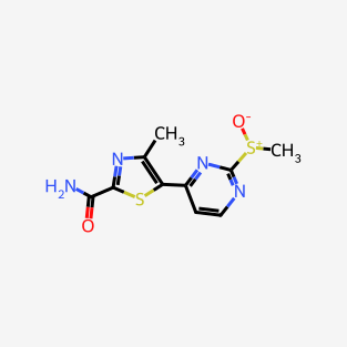 Cc1nc(C(N)=O)sc1-c1ccnc([S+](C)[O-])n1